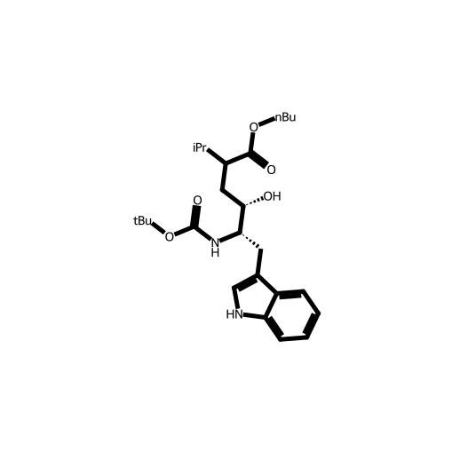 CCCCOC(=O)C(C[C@H](O)[C@H](Cc1c[nH]c2ccccc12)NC(=O)OC(C)(C)C)C(C)C